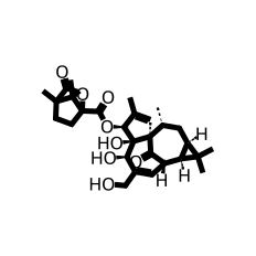 CC1=C[C@]23C(=O)[C@@H](C=C(CO)[C@@H](O)[C@]2(O)[C@H]1OC(=O)C12CCC(C)(C(=O)O1)C2(C)C)[C@H]1[C@@H](C[C@H]3C)C1(C)C